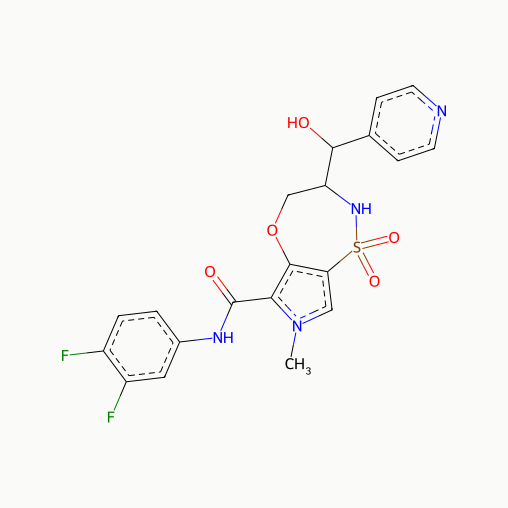 Cn1cc2c(c1C(=O)Nc1ccc(F)c(F)c1)OCC(C(O)c1ccncc1)NS2(=O)=O